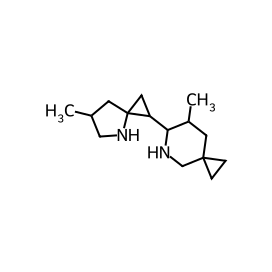 CC1CNC2(C1)CC2C1NCC2(CC2)CC1C